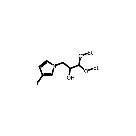 CCOC(OCC)C(O)Cn1ccc(I)c1